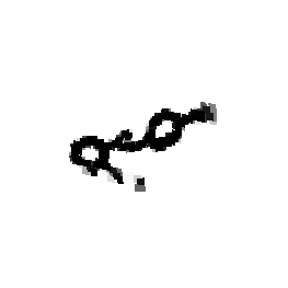 N#Cc1ccc(COc2cccnc2N)cc1